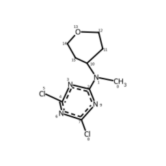 CN(c1nc(Cl)nc(Cl)n1)C1CCOCC1